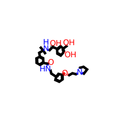 CC(C)(Cc1cccc(C(=O)NCCc2cccc(OCCCN3CCCC3)c2)c1)NC[C@@H](O)c1ccc(O)c(CO)c1